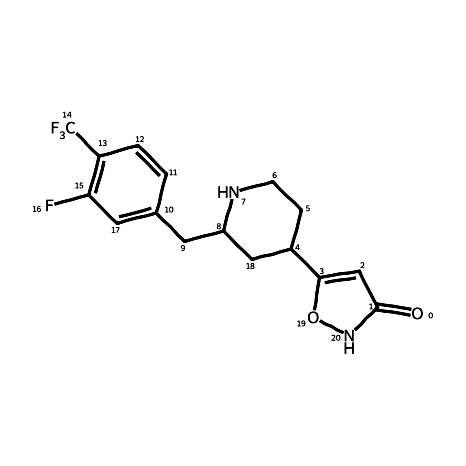 O=c1cc(C2CCNC(Cc3ccc(C(F)(F)F)c(F)c3)C2)o[nH]1